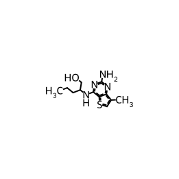 CCCC(CO)Nc1nc(N)nc2c(C)csc12